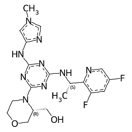 C[C@H](Nc1nc(Nc2cn(C)cn2)nc(N2CCOC[C@H]2CO)n1)c1ncc(F)cc1F